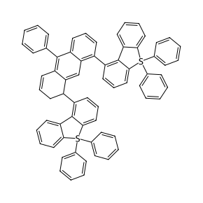 C1=Cc2c(cc3c(-c4cccc5c4-c4ccccc4S5(c4ccccc4)c4ccccc4)cccc3c2-c2ccccc2)C(c2cccc3c2-c2ccccc2S3(c2ccccc2)c2ccccc2)C1